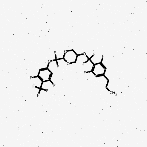 CCCc1cc(F)c(C(F)(F)OC2COC(C(F)(F)Oc3cc(F)c(C(F)(F)F)c(F)c3)OC2)c(F)c1